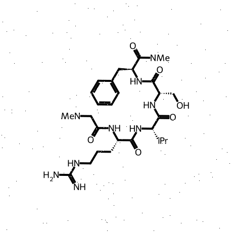 CNCC(=O)N[C@@H](CCCNC(=N)N)C(=O)N[C@H](C(=O)N[C@@H](CO)C(=O)N[C@@H](Cc1ccccc1)C(=O)NC)C(C)C